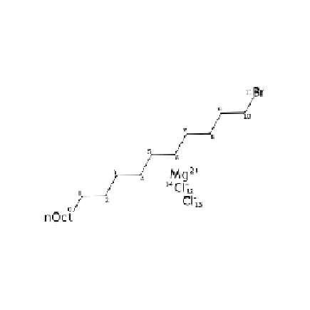 CCCCCCCCCCCCCCCCCCBr.[Cl-].[Cl-].[Mg+2]